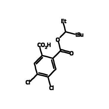 CCC(OC(=O)c1cc(Cl)c(Cl)cc1C(=O)O)C(C)(C)C